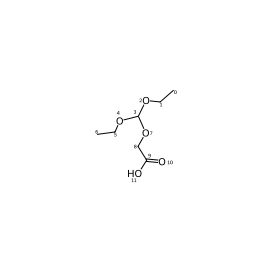 CCOC(OCC)OCC(=O)O